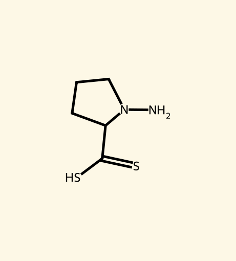 NN1CCCC1C(=S)S